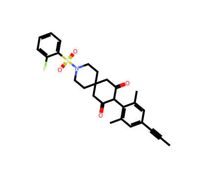 CC#Cc1cc(C)c(C2C(=O)CC3(CCN(S(=O)(=O)c4ccccc4F)CC3)CC2=O)c(C)c1